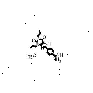 CCCn1c(=O)c2[nH]c(-c3ccc(C(=N)N)cc3)nc2n(CCC)c1=O.Cl.O